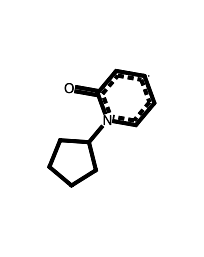 O=c1c[c]ccn1C1CCCC1